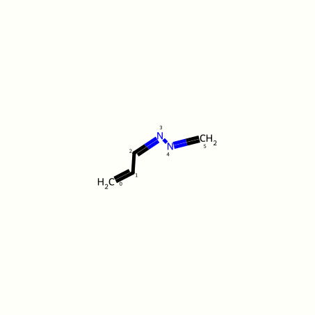 C=C/C=N\N=C